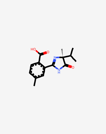 Cc1ccc(C(=O)O)c(C2=N[C@@](C)(C(C)C)C(=O)N2)c1